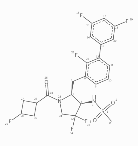 CS(=O)(=O)N[C@@H]1[C@H](Cc2cccc(-c3cc(F)cc(F)c3)c2F)N(C(=O)C2CC(F)C2)CC1(F)F